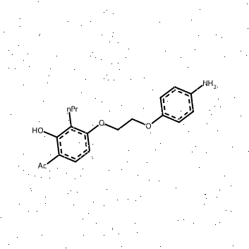 CCCc1c(OCCOc2ccc(N)cc2)ccc(C(C)=O)c1O